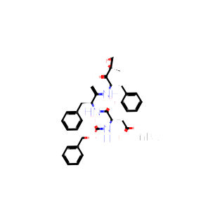 C=C(N[C@@H](Cc1ccccc1)C(=O)[C@@]1(C)CO1)[C@H](Cc1ccccc1)NC(=O)[C@H](CC(=O)OCCCC)NC(=O)OCc1ccccc1